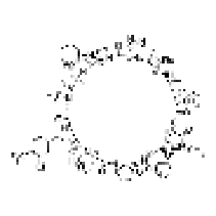 CC[C@H](C)[C@@H]1NC(=O)[C@H](CC(C)C)N(C)C(=O)C[C@@H](C(=O)N(C)C)N(C)C(=O)[C@H](C2CCCC2)N(C)C(=O)C2(CCCC2)NC(=O)[C@H](C)N(C)C(=O)[C@H](CCc2ccc(C(F)(F)F)c(Cl)c2)NC(=O)CN(C)C(=O)[C@H](CC2CCCCC2)N(C)C(=O)[C@@H]2CCN2C(=O)[C@H](C)N(C)C1=O